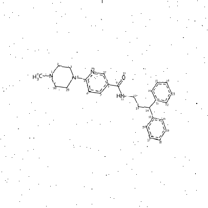 CN1CCN(c2ccc(C(=O)NCCC(c3ccccc3)c3ccccc3)cn2)CC1